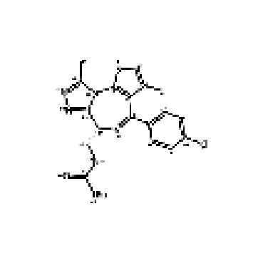 Cc1csc2c1C(c1ccc(Cl)cc1)=N[C@H](CNC(=O)C(C)(C)C)c1nnc(C)n1-2